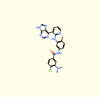 Cc1ccc(NC(=O)c2ccc(Cl)c(N(C)C)c2)cc1Nc1ncccc1-c1ncnc2[nH]cnc12